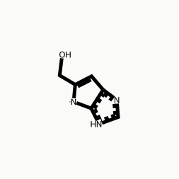 OCC1=Cc2nc[nH]c2[N]1